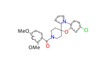 COc1ccc(C(=O)N2CCC3(CC2)Oc2cc(Cl)ccc2-n2cccc23)c(OC)c1